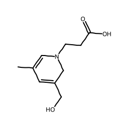 CC1=CN(CCC(=O)O)CC(CO)=C1